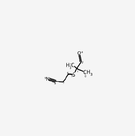 CC(C)(C=O)SCCC#N